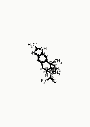 Cc1nc2cc3c(cc2[nH]1)C1(C)CCN(C(=O)C(F)(F)F)[C@H](C3)C1(C)C